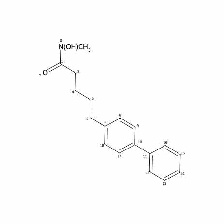 CN(O)C(=O)CCCCc1ccc(-c2ccccc2)cc1